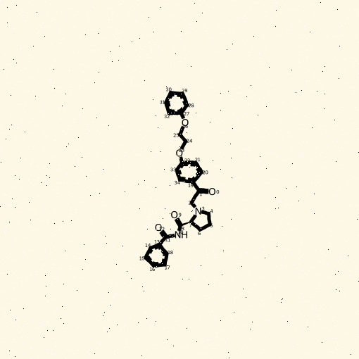 O=C(CN1CCC[C@H]1C(=O)NC(=O)c1ccccc1)c1ccc(OCCOc2ccccc2)cc1